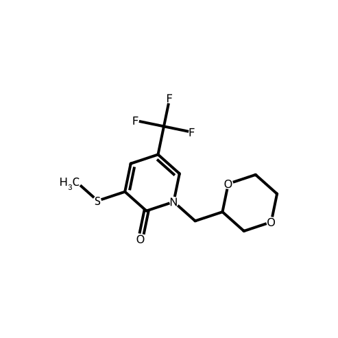 CSc1cc(C(F)(F)F)cn(CC2COCCO2)c1=O